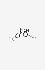 N#Cc1cc([N+](=O)[O-])ccc1Nc1ccc(C(F)(F)F)cc1